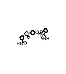 O=C(O)c1cccc(N2CCN(c3ccc(OCC(=O)N4CCNCC4c4ccccc4)cc3)C2=O)c1